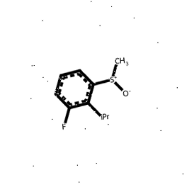 CC(C)c1c(F)cccc1[S+](C)[O-]